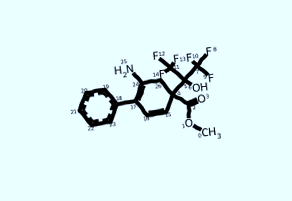 COC(=O)C1(C(O)(C(F)(F)F)C(F)(F)F)C=CC(c2ccccc2)=C(N)C1